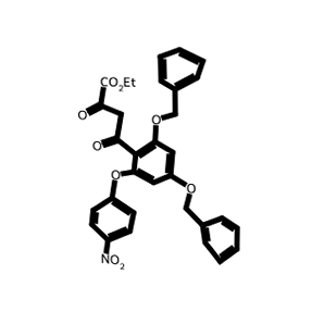 CCOC(=O)C(=O)CC(=O)c1c(OCc2ccccc2)cc(OCc2ccccc2)cc1Oc1ccc([N+](=O)[O-])cc1